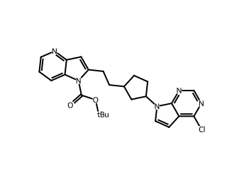 CC(C)(C)OC(=O)n1c(CCC2CCC(n3ccc4c(Cl)ncnc43)C2)cc2ncccc21